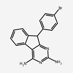 Nc1nc(N)c2c(n1)C(c1ccc(Br)cc1)c1ccccc1-2